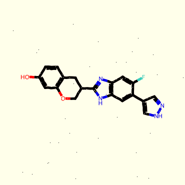 Oc1ccc2c(c1)OCC(c1nc3cc(F)c(-c4cn[nH]c4)cc3[nH]1)C2